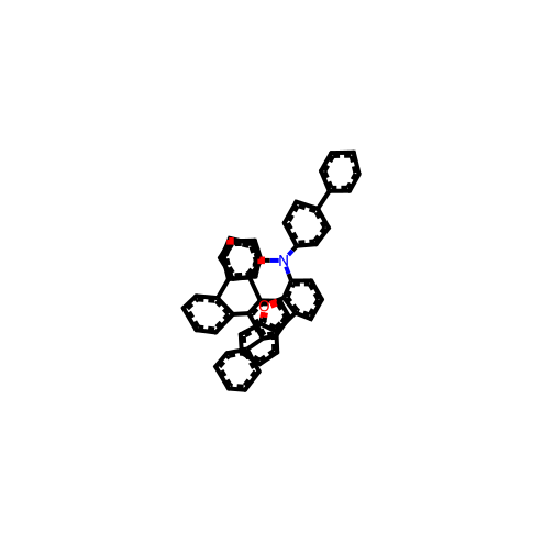 c1ccc(-c2ccc(N(c3ccccc3-c3cccc(-c4ccccc4)c3-c3ccccc3-c3ccccc3)c3cccc4c3oc3ccccc34)cc2)cc1